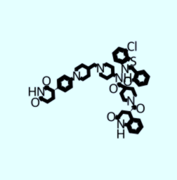 O=C1CC[C@@H](c2ccc(N3CCC(CN4CCC(NC(=O)C5(Oc6ccccc6-c6nc7cccc(Cl)c7s6)CCN(C(=O)[C@H]6CC(=O)Nc7ccccc76)CC5)CC4)CC3)cc2)C(=O)N1